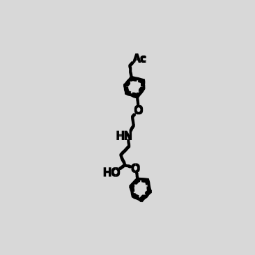 CC(=O)Cc1ccc(OCCNCCC(O)Oc2ccccc2)cc1